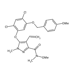 C=Cc1c(C(=O)N(C)OC)nn(C)c1Oc1cc(OCc2ccc(OC)cc2)c(Cl)cc1Cl